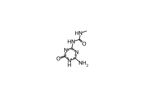 CNC(=O)Nc1nc(N)[nH]c(=O)n1